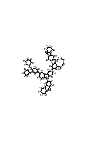 C=C1/C=C\C=C/CN(c2ccc3oc4ccccc4c3c2)c2ccc(-c3ccc4c(c3)c3cc(-c5ccc6c(c5)c5ccccc5n6-c5ccccc5)ccc3n4-c3ccc4oc5ccccc5c4c3)cc21